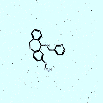 O=C(O)Oc1ccc2c(c1)C(NCc1cccnc1)c1ccccc1CO2